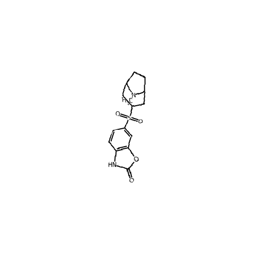 CN1C2CCC1CC(S(=O)(=O)c1ccc3[nH]c(=O)oc3c1)C2